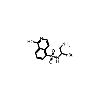 CCCCC(CN)NS(=O)(=O)c1cccc2c(O)nccc12